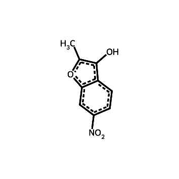 Cc1oc2cc([N+](=O)[O-])ccc2c1O